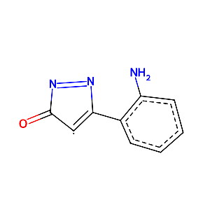 Nc1ccccc1C1=[C]C(=O)N=N1